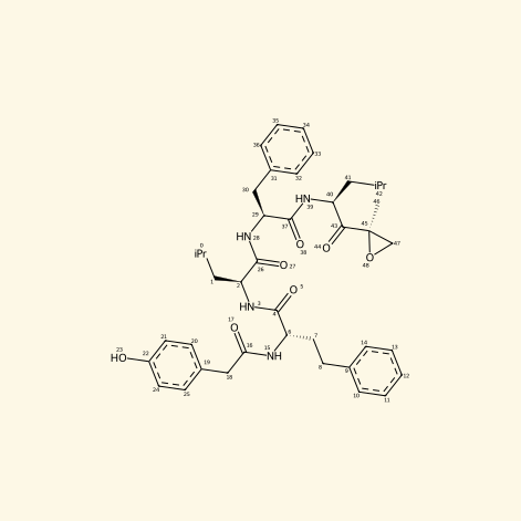 CC(C)C[C@H](NC(=O)[C@H](CCc1ccccc1)NC(=O)Cc1ccc(O)cc1)C(=O)N[C@@H](Cc1ccccc1)C(=O)N[C@@H](CC(C)C)C(=O)[C@@]1(C)CO1